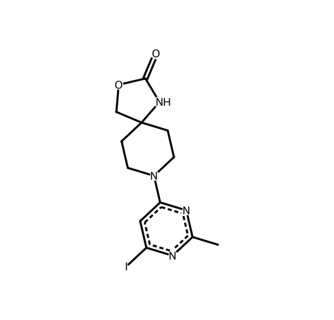 Cc1nc(I)cc(N2CCC3(CC2)COC(=O)N3)n1